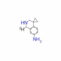 [2H]C1NCC2(CC2)c2ccc(N)cc21